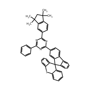 CC1(C)CC(C)(C)c2cc(-c3nc(-c4ccccc4)nc(-c4ccc5c(c4)C4(c6ccccc6Sc6ccccc64)c4ccccc4-5)n3)ccc21